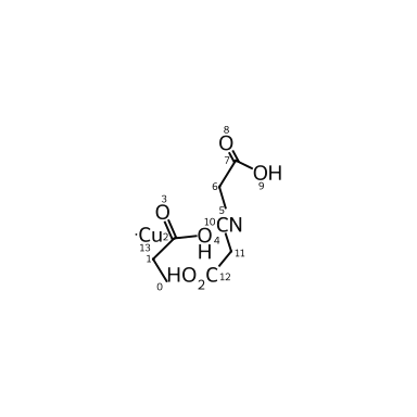 CCC(=O)O.CCC(=O)O.N#CCC(=O)O.[Cu]